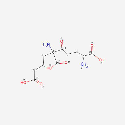 NC(CCC(=O)C(N)(CCCC(=O)O)C(=O)O)C(=O)O